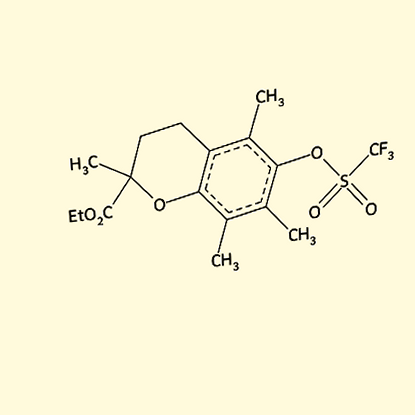 CCOC(=O)C1(C)CCc2c(C)c(OS(=O)(=O)C(F)(F)F)c(C)c(C)c2O1